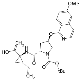 C=C[C@@H]1C[C@]1(NC(=O)[C@@H]1C[C@@H](Oc2nccc3cc(OC)ccc23)CN1C(=O)OC(C)(C)C)C(=C)O